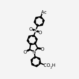 CC(=O)c1ccc(S(=O)(=O)c2ccc3c(c2)C(=O)N(c2cccc(C(=O)O)c2)C3=O)cc1